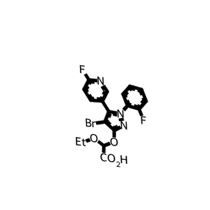 CCOC(Oc1nn(-c2ccccc2F)c(-c2ccc(F)nc2)c1Br)C(=O)O